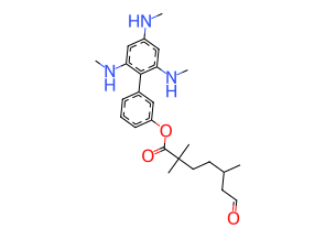 CNc1cc(NC)c(-c2cccc(OC(=O)C(C)(C)CCC(C)CC=O)c2)c(NC)c1